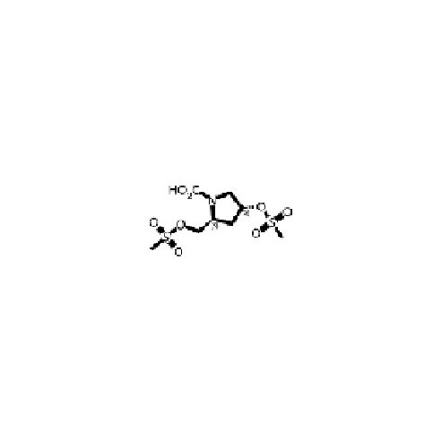 CS(=O)(=O)OC[C@@H]1C[C@@H](OS(C)(=O)=O)CN1C(=O)O